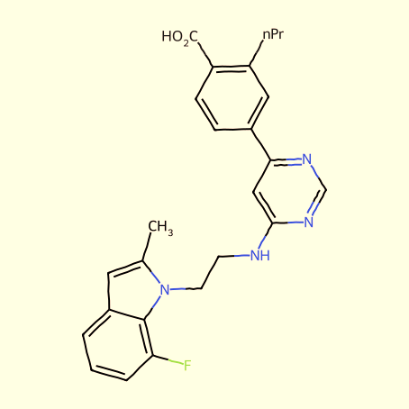 CCCc1cc(-c2cc(NCCn3c(C)cc4cccc(F)c43)ncn2)ccc1C(=O)O